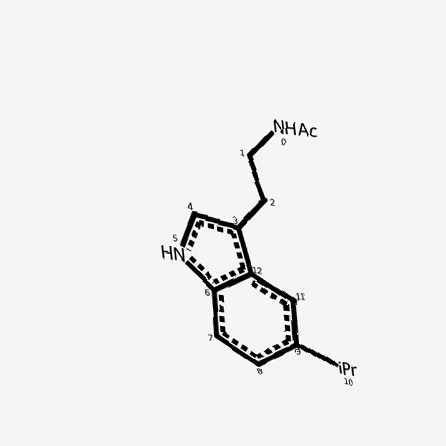 CC(=O)NCCc1c[nH]c2ccc(C(C)C)cc12